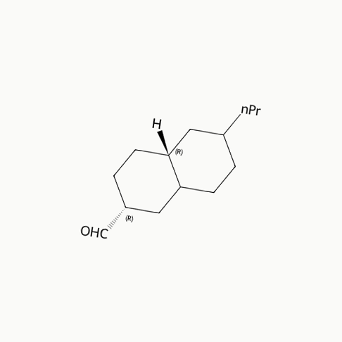 CCCC1CCC2C[C@H](C=O)CC[C@@H]2C1